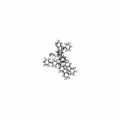 CC(C)CC(c1ccc(-c2ccc3c(c2)C2(c4ccccc4-3)c3ccccc3-c3ccc(N(c4ccc(-c5ccccc5)cc4)c4cccc(-c5ccc6c7ccccc7n(-c7ccccc7)c6c5)c4)cc32)cc1)C(C)C